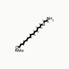 CNOCCCCCCCCCCCCCCOCCN